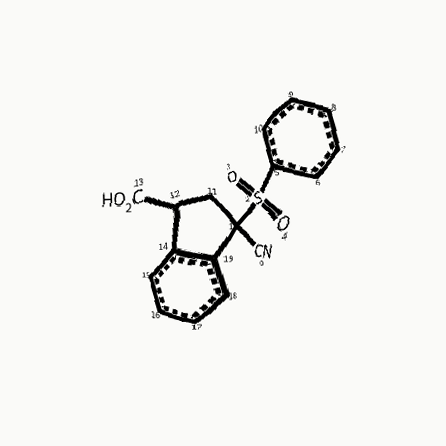 N#CC1(S(=O)(=O)c2ccccc2)CC(C(=O)O)c2ccccc21